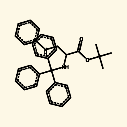 CC(C)(C)OC(=O)C(CNc1ccccc1)NC(c1ccccc1)(c1ccccc1)c1ccccc1